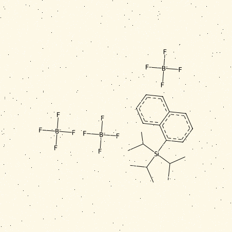 CC(C)[Si](c1cccc2ccccc12)(C(C)C)C(C)C.F[B-](F)(F)F.F[B-](F)(F)F.F[B-](F)(F)F